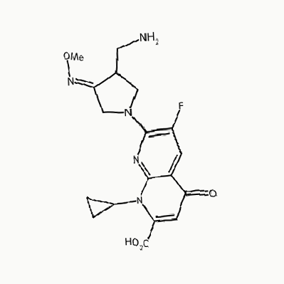 CON=C1CN(c2nc3c(cc2F)c(=O)cc(C(=O)O)n3C2CC2)CC1CN